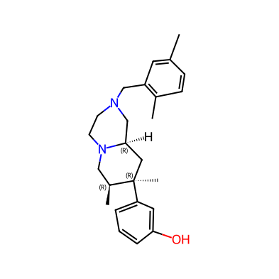 Cc1ccc(C)c(CN2CCN3C[C@H](C)[C@](C)(c4cccc(O)c4)C[C@@H]3C2)c1